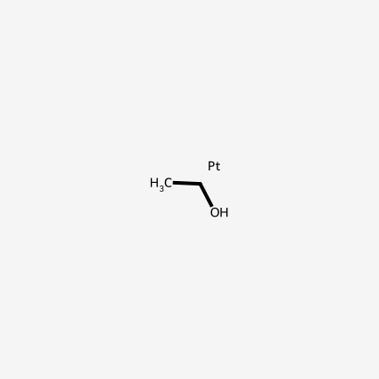 CCO.[Pt]